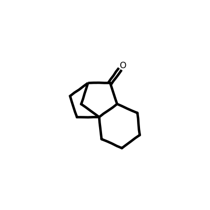 O=C1C2CCC3(CCCCC13)C2